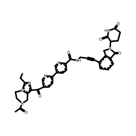 CCc1nc(C(=O)c2ccc(-c3ccc(C(=O)NCC#Cc4cccc5c4CN(C4CCC(=O)NC4=O)C5=O)nc3)nc2)c2n1CCN(C(C)=O)C2